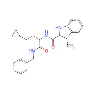 CC1c2ccccc2NC1C(=O)NC(CCC1CC1)C(=O)NCc1ccccc1